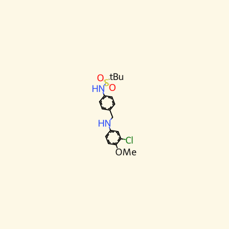 COc1ccc(NCc2ccc(NS(=O)(=O)C(C)(C)C)cc2)cc1Cl